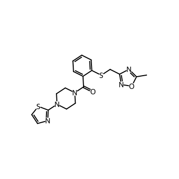 Cc1nc(CSc2ccccc2C(=O)N2CCN(c3nccs3)CC2)no1